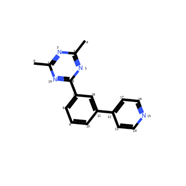 Cc1nc(C)nc(-c2cccc(-c3ccncc3)c2)n1